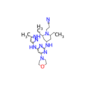 CCC1CC(Nc2nc(Nc3cc(C)[nH]n3)cc(N3CCOCC3)n2)CC(CC)N1CCC#N